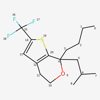 CCCCC1(CC(C)C)OCCc2cc(C(F)(F)F)sc21